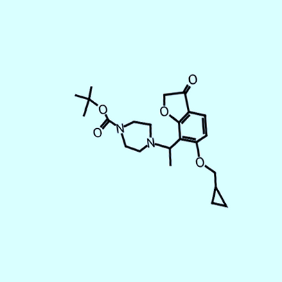 CC(c1c(OCC2CC2)ccc2c1OCC2=O)N1CCN(C(=O)OC(C)(C)C)CC1